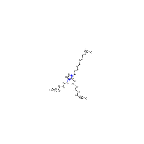 CCCCCCCCCCCCCCCCCCCn1cc[n+](CCCCCCCCCCCCCCC)c1CCCCCCCCCCCCCCCC